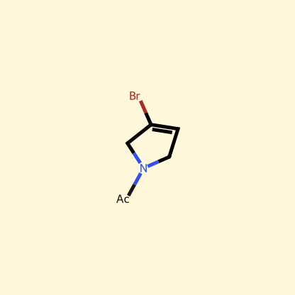 CC(=O)N1CC=C(Br)C1